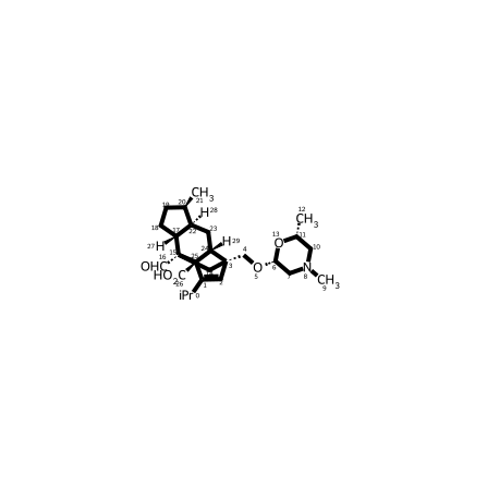 CC(C)C1=C[C@@]2(CO[C@H]3CN(C)C[C@@H](C)O3)C[C@@]3(C=O)[C@@H]4CC[C@@H](C)[C@H]4C[C@H]2[C@]13C(=O)O